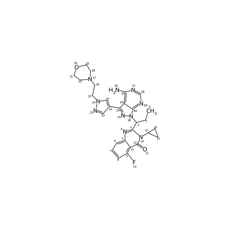 CCC(c1nc2cccc(F)c2c(=O)n1C1CC1)n1nc(-c2cnn(CCN3CCOCC3)c2)c2c(N)ncnc21